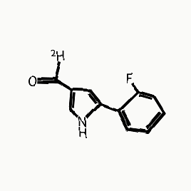 [2H]C(=O)c1c[nH]c(-c2ccccc2F)c1